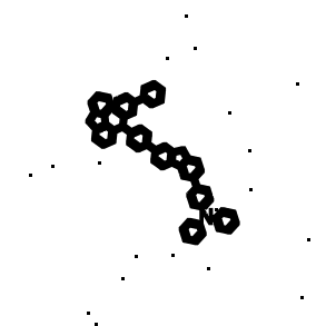 c1ccc(-c2cccc(C(c3ccc(-c4ccc5c(c4)Cc4ccc(-c6ccc(N(c7ccccc7)c7ccccc7)cc6)cc4-5)cc3)c3cccc4c3-c3ccccc3C4)c2)cc1